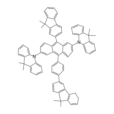 CC1(C)C2=C(CCC=C2)c2cc(-c3ccc(-c4c5ccc(N6c7ccccc7C(C)(C)c7ccccc76)cc5c(-c5ccc6c(c5)C(C)(C)c5ccccc5-6)c5ccc(N6c7ccccc7C(C)(C)c7ccccc76)cc45)cc3)ccc21